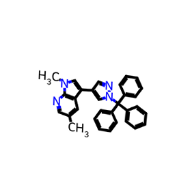 Cc1cnc2c(c1)c(-c1cnn(C(c3ccccc3)(c3ccccc3)c3ccccc3)c1)cn2C